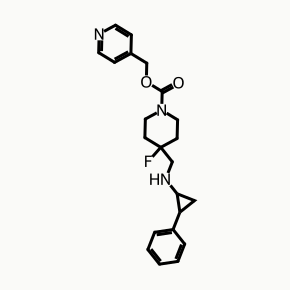 O=C(OCc1ccncc1)N1CCC(F)(CNC2CC2c2ccccc2)CC1